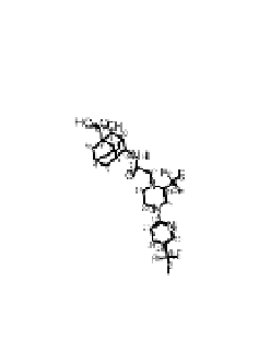 CC1C2CC3CC(CC1(C(=O)O)C3)C2NC(=O)CN1CCN(c2ccc(C(F)(F)F)cn2)CC1C(F)(F)F